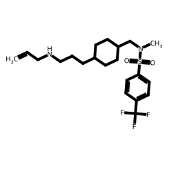 C=CCNCCCC1CCC(CN(C)S(=O)(=O)c2ccc(C(F)(F)F)cc2)CC1